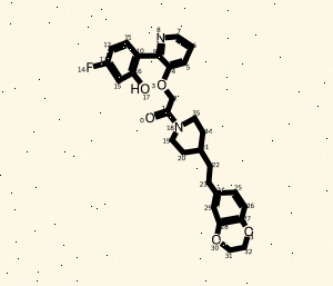 O=C(COc1cccnc1-c1ccc(F)cc1O)N1CCC(CCc2ccc3c(c2)OCCO3)CC1